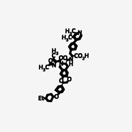 CCC1CCC(Oc2ccc([C@H]3COc4cc5c(cc4O3)CN(C(=O)c3nc(C)oc3C)[C@H](C(=O)N[C@@H](Cc3ccc(-c4ccnc(C)c4C)cc3)C(=O)O)C5)cc2)CC1